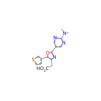 CN(C)c1ncc(-c2nc(CC(=O)O)c(-c3ccsc3)o2)cn1